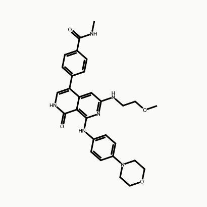 CNC(=O)c1ccc(-c2c[nH]c(=O)c3c(Nc4ccc(N5CCOCC5)cc4)nc(NCCOC)cc23)cc1